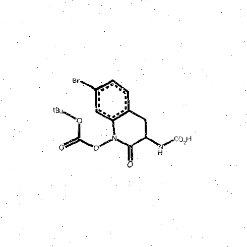 CC(C)(C)OC(=O)ON1C(=O)C(NC(=O)O)Cc2ccc(Br)cc21